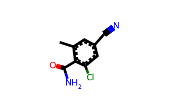 Cc1cc(C#N)cc(Cl)c1C(N)=O